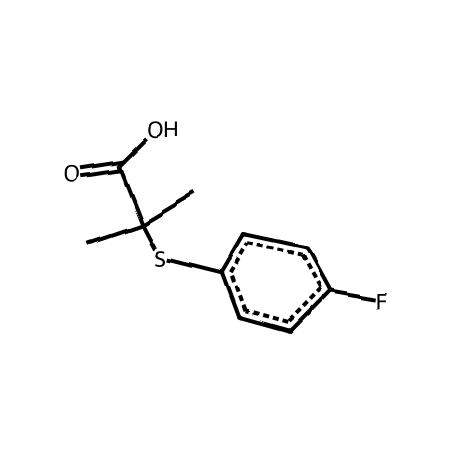 CC(C)(Sc1ccc(F)cc1)C(=O)O